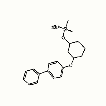 CC(C)(C)[Si](C)(C)OC1CCCC(Oc2ccc(-c3ccccc3)cc2)C1